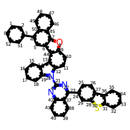 c1ccc(-c2cc3c(oc4ccc5c(c6ccccc6n5-c5nc(-c6ccc7c(c6)sc6ccccc67)c6ccccc6n5)c43)c3ccccc23)cc1